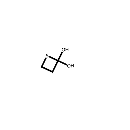 OC1(O)[CH]CS1